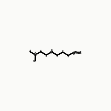 CCCCCCCCOCCN(C)C